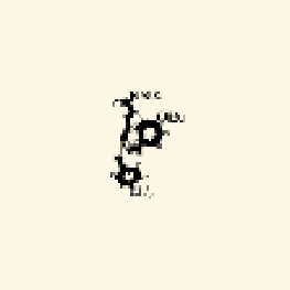 CNC(=O)CCCCN(Cc1ccc(C)cc1)Cc1ccc(OCC(C)C)cc1